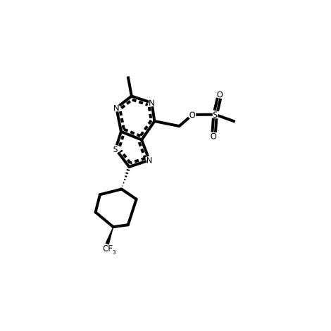 Cc1nc(COS(C)(=O)=O)c2nc([C@H]3CC[C@H](C(F)(F)F)CC3)sc2n1